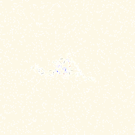 CCCCCCCCCCCCCCCCCCC1CC(=O)N(c2ccc(Cl)c(NC3=NN(c4c(Cl)cc(Cl)cc4Cl)C(=O)C3N=Nc3ccc(Sc4ccc(C)cc4)cc3)c2)C1=O